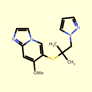 COc1cc2nccn2cc1SC(C)(C)Cn1cccn1